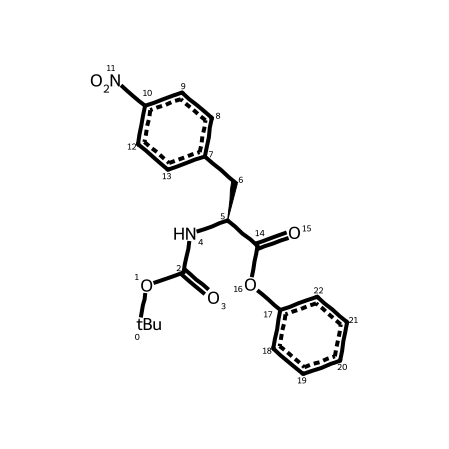 CC(C)(C)OC(=O)N[C@@H](Cc1ccc([N+](=O)[O-])cc1)C(=O)Oc1ccccc1